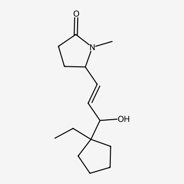 CCC1(C(O)/C=C/C2CCC(=O)N2C)CCCC1